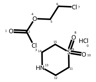 Cl.O=C(Cl)OCCCl.O=S1(=O)CCNCC1